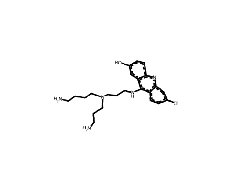 NCCCCN(CCCN)CCCNc1c2ccc(Cl)cc2nc2ccc(O)cc12